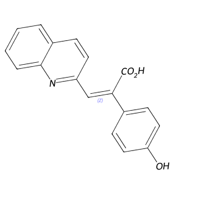 O=C(O)/C(=C\c1ccc2ccccc2n1)c1ccc(O)cc1